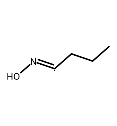 CCC/[C]=N/O